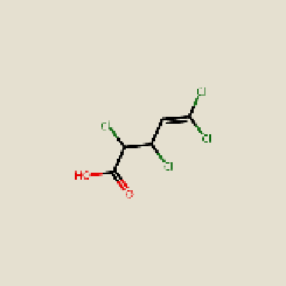 O=C(O)C(Cl)C(Cl)C=C(Cl)Cl